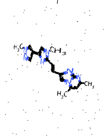 Cc1cc(C)n2cc(C=Cc3nc(-c4cnn(C)c4)cn3C)nc2n1